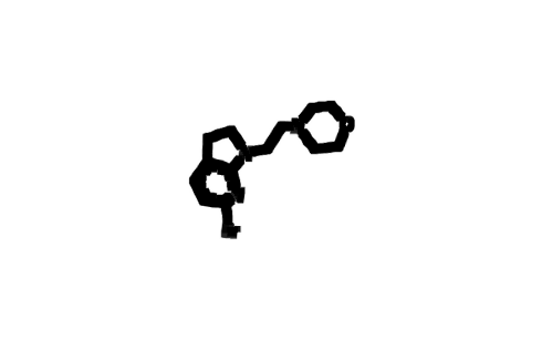 Brc1ccc2c(n1)N(CCN1CCOCC1)CC2